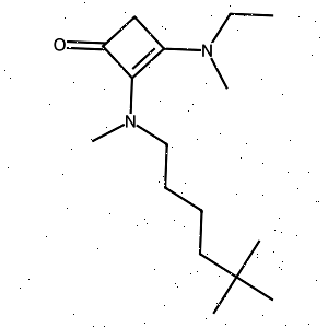 CCN(C)C1=C(N(C)CCCCC(C)(C)C)C(=O)C1